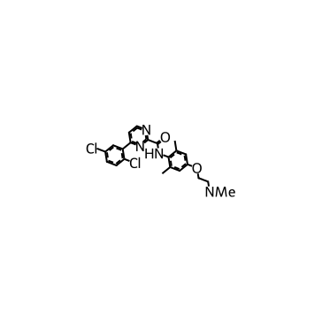 CNCCOc1cc(C)c(NC(=O)c2nccc(-c3cc(Cl)ccc3Cl)n2)c(C)c1